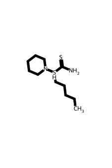 CCCCC[SH](C(N)=S)N1CCCCC1